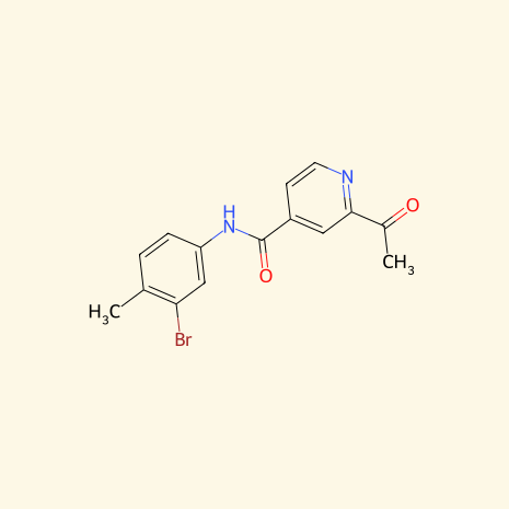 CC(=O)c1cc(C(=O)Nc2ccc(C)c(Br)c2)ccn1